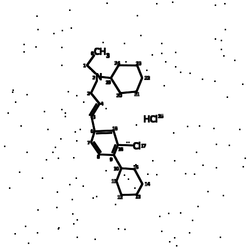 CCN(CC=Cc1ccc(C2CCCCC2)c(Cl)c1)C1CCCCC1.Cl